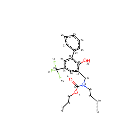 CCCCOC(=O)N(CCCC)Cc1cc(C(F)(F)F)cc(-c2ccccc2)c1O